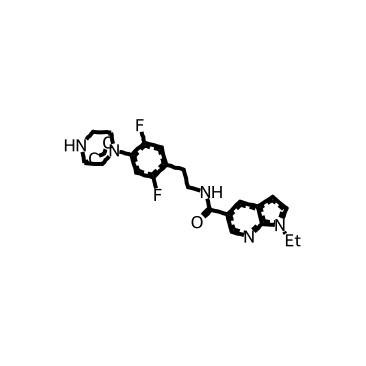 CCn1ccc2cc(C(=O)NCCc3cc(F)c(N4CC5CCCC4CN5)cc3F)cnc21